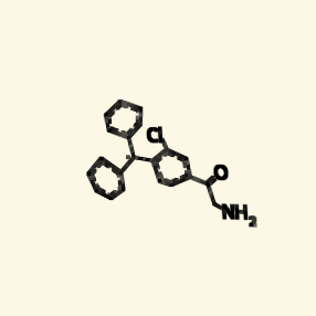 NCC(=O)c1ccc([C](c2ccccc2)c2ccccc2)c(Cl)c1